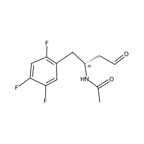 CC(=O)N[C@@H](CC=O)Cc1cc(F)c(F)cc1F